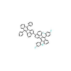 Fc1ccc(-c2c3c(c(-c4ccc(F)cc4F)c4ccccc24)-c2ccc(-c4ccc5c6c(cccc46)-c4c-5c(-c5ccccc5)c5ccccc5c4-c4ccccc4)c4cccc-3c24)c(F)c1